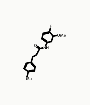 COC1CC(NC(=O)CCc2ccc(C(C)(C)C)cc2)=CC=C1F